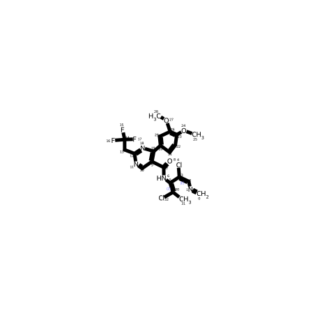 C=N/C=C(Cl)\C(NC(=O)c1cnc(CC(F)(F)F)nc1-c1ccc(OC)c(OC)c1)=C(/C)Cl